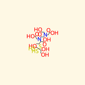 O=C(O)CN(CCN(CC(=O)O)C(C(=O)O)C(CO)S[C@](S)(CS)[C@H](O)CO)CC(=O)O